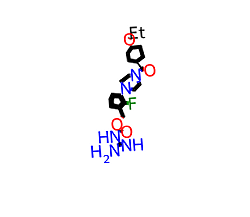 CCO[C@H]1CC[C@@H](C(=O)N2CCN(c3cccc(COC(=O)NC(=N)N)c3F)CC2)CC1